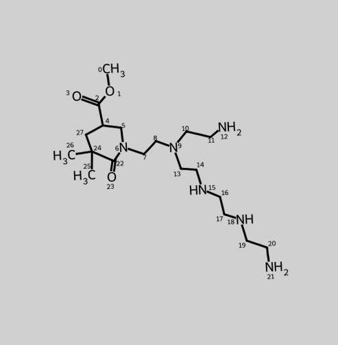 COC(=O)C1CN(CCN(CCN)CCNCCNCCN)C(=O)C(C)(C)C1